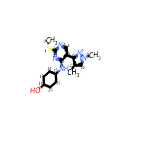 CSc1ncc(-c2nn(C)cc2C)c(NC2CCC(O)CC2)n1